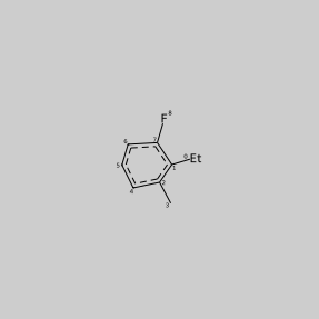 CCc1c(C)cccc1F